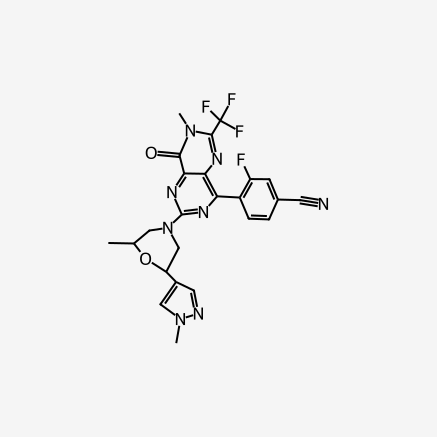 CC1CN(c2nc(-c3ccc(C#N)cc3F)c3nc(C(F)(F)F)n(C)c(=O)c3n2)CC(c2cnn(C)c2)O1